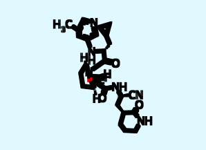 Cc1cncc(N[C@H](CC2CC2)C(=O)N2[C@@H]3CC[C@H]([C@H]2C(=O)N[C@@H](C#N)C[C@@H]2CCCNC2=O)C(F)(F)C3)c1